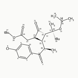 C[C@@H](C(=S)c1ccc(Cl)cc1)[C@@H]1[C@@H]([C@@](C)(O[SiH](C)C)C(C)(C)C)C(=O)N1CC(=O)OC(C)(C)C